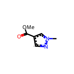 COC(=O)c1[c]nn(C)c1